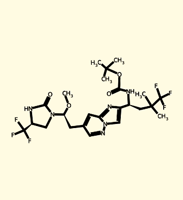 CO[C@@H](Cc1cnn2cc([C@H](CC(C)(C)C(F)(F)F)NC(=O)OC(C)(C)C)nc2c1)N1C[C@@H](C(F)(F)F)NC1=O